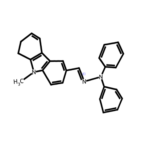 Cn1c2c(c3cc(/C=N/N(c4ccccc4)c4ccccc4)ccc31)C=CCC2